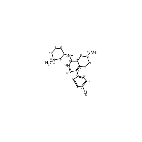 CSN1CCc2c(-c3ccc(Cl)cc3)nnc(NC3CCCN(C)C3)c2C1